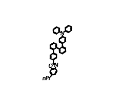 CCCc1ccc2nc(-c3ccc(-c4ccccc4-c4ccccc4-c4ccc(N(c5ccccc5)c5ccccc5)cc4)cc3)oc2c1